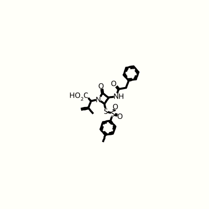 C=C(C)C(C(=O)O)N1C(=O)C(NC(=O)Cc2ccccc2)C1SS(=O)(=O)c1ccc(C)cc1